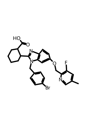 Cc1cnc(COc2ccc3nc(C4CCCCC4C(=O)O)n(Cc4ccc(Br)cc4)c3c2)c(F)c1